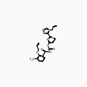 C=CCOc1c(C(=O)NC(=O)Oc2cccc(-c3nncn3CC=C)n2)cccc1C(F)(F)F